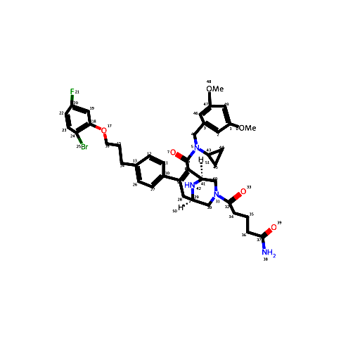 COc1cc(CN(C(=O)C2=C(c3ccc(CCCOc4cc(F)ccc4Br)cc3)C[C@@H]3CN(C(=O)CCCC(N)=O)C[C@H]2N3)C2CC2)cc(OC)c1